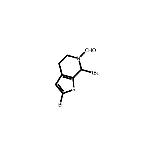 CC(C)(C)C1c2sc(Br)cc2CCN1C=O